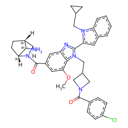 COc1cc(C(=O)N2C[C@H]3CC[C@@H]2[C@@H]3N)cc2nc(-c3cc4ccccc4n3CC3CC3)n(CC3CN(C(=O)c4ccc(Cl)cc4)C3)c12